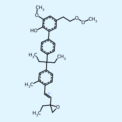 CCC1(/C=C/c2ccc(C(CC)(CC)c3ccc(-c4cc(CCOOC)cc(OC)c4O)cc3)cc2C)CO1